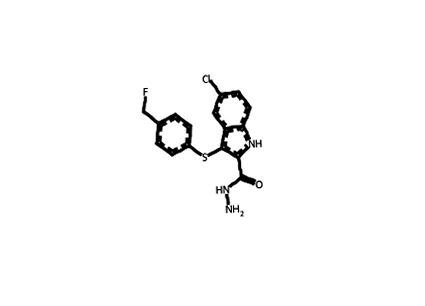 NNC(=O)c1[nH]c2ccc(Cl)cc2c1Sc1ccc(CF)cc1